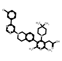 Cc1nc(C)c(-c2ccc3c(c2)CCN(c2cc(-c4cccc(Cl)c4)ncn2)C3)c(N2CCC(C)(C)CC2)c1CC(=O)O